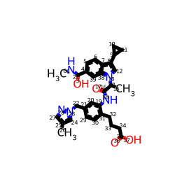 CNC(O)c1ccc2c(C3CC3)cn(C(C)C(=O)Nc3cc(Cn4cc(C)cn4)ccc3CCCC(=O)O)c2c1